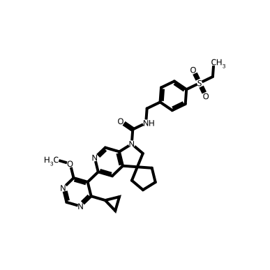 CCS(=O)(=O)c1ccc(CNC(=O)N2CC3(CCCC3)c3cc(-c4c(OC)ncnc4C4CC4)ncc32)cc1